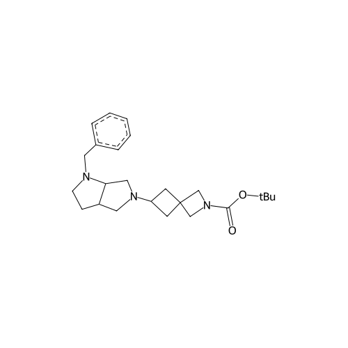 CC(C)(C)OC(=O)N1CC2(CC(N3CC4CCN(Cc5ccccc5)C4C3)C2)C1